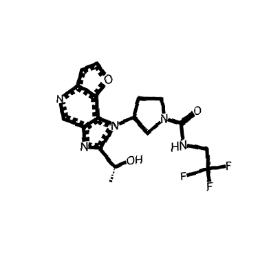 C[C@@H](O)c1nc2cnc3ccoc3c2n1C1CCN(C(=O)NCC(F)(F)F)C1